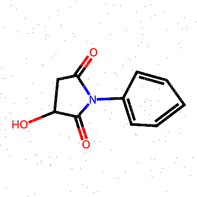 O=C1CC(O)C(=O)N1c1ccccc1